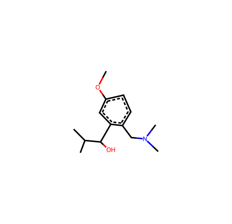 COc1ccc(CN(C)C)c(C(O)C(C)C)c1